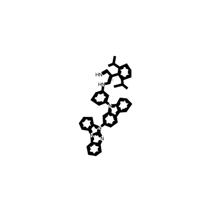 CC(C)c1cccc(C(C)C)c1/C(C=N)=C/Nc1cccc(-n2c3ccccc3c3ccc(-n4c5ccccc5n5c6ccccc6nc45)cc32)c1